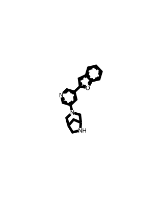 c1ccc2oc(-c3cncc(N4CC5CNC(C5)C4)c3)cc2c1